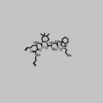 C=CCCNC(=O)C(=O)C(CCC=C)NC(=O)[C@@H]1CC(C)(C)C(C)CN1C(=O)[C@@H](NC(=O)NC1(CS(=O)(=O)CCC(C)C)CCCCC1)C(C)(C)C